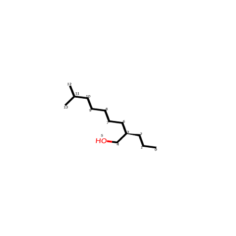 CCC[C@@H](CO)CCCCCC(C)C